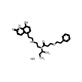 CCC(C)N(CCNCCc1ccc(O)c2[nH]c(=O)ccc12)C(=O)CCOCCc1ccccc1.Cl